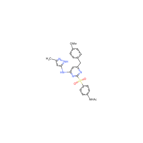 COc1ccc(Cc2cc(Nc3cc(C)n[nH]3)nc(S(=O)(=O)c3ccc(NC(C)=O)cc3)n2)cc1